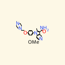 COc1cc2c(cn1)c(C(N)=O)c(C)n2-c1ccc(OCCN2CCN(C)CC2)cc1